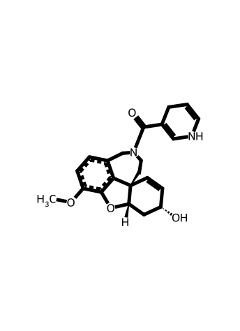 COc1ccc2c3c1O[C@H]1C[C@@H](O)C=C[C@@]31CCN(C(=O)C1=CNC=CC1)C2